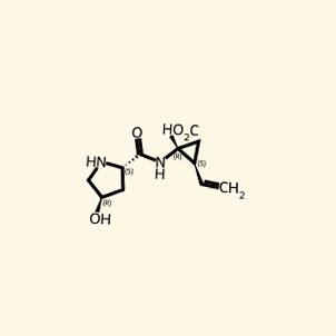 C=C[C@@H]1C[C@]1(NC(=O)[C@@H]1C[C@@H](O)CN1)C(=O)O